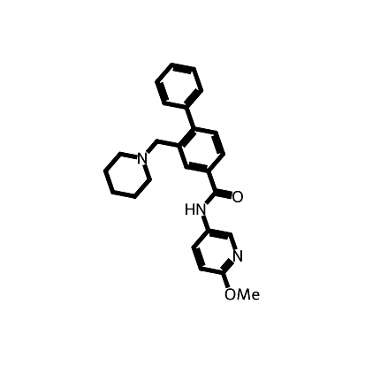 COc1ccc(NC(=O)c2ccc(-c3ccccc3)c(CN3CCCCC3)c2)cn1